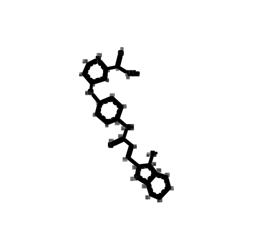 CNC(=O)c1cc(Oc2ccc(NC(=O)C=Cc3sc4ccccc4c3Br)cc2)ccn1